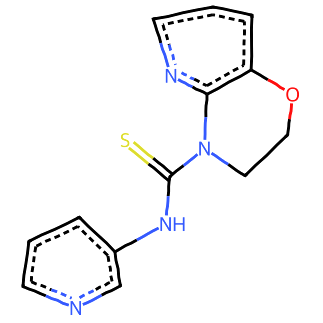 S=C(Nc1cccnc1)N1CCOc2cccnc21